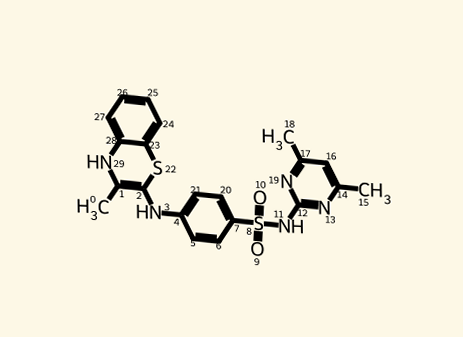 CC1=C(Nc2ccc(S(=O)(=O)Nc3nc(C)cc(C)n3)cc2)Sc2ccccc2N1